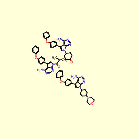 CC(C)C(=O)n1cc(-c2ccc(Oc3ccccc3)cc2)c2c(N)ncnc21.Nc1ncnc2c1c(-c1ccc(Oc3ccccc3)cc1)cn2C1CCC(=O)CC1.Nc1ncnc2c1c(-c1ccc(Oc3ccccc3)cc1)cn2C1CCC(N2CCOCC2)CC1